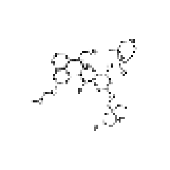 COCOc1cc(-c2c(F)cc3c(OC(=O)N4C5CCC4(C)CNC5)nc(OC[C@@]45CCCN4C[C@H](F)C5)nc3c2F)c2c(C(O)CO)cccc2c1